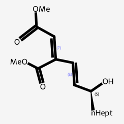 CCCCCCC[C@H](O)/C=C/C(=C/C(=O)OC)C(=O)OC